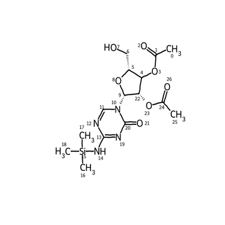 CC(=O)OC1[C@@H](CO)O[C@@H](n2cnc(N[Si](C)(C)C)nc2=O)[C@H]1OC(C)=O